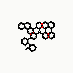 c1ccc(-c2cccc3cccc(-c4ccccc4N(c4ccc(-c5cccc6sc7ccccc7c56)cc4)c4ccccc4-c4cccc5c4ccc4ccccc45)c23)cc1